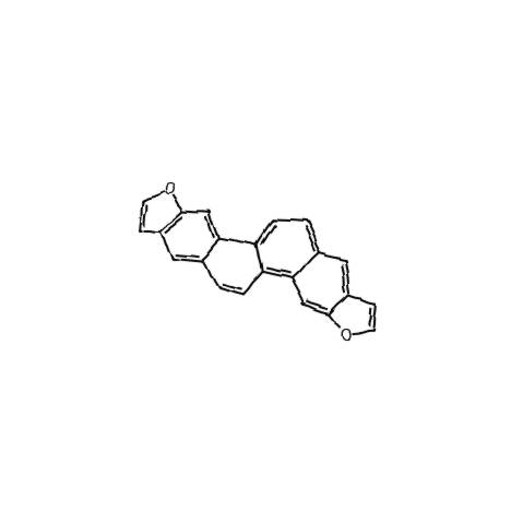 c1cc2cc3ccc4c5cc6occc6cc5ccc4c3cc2o1